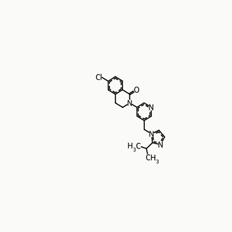 CC(C)c1nccn1Cc1cncc(N2CCc3cc(Cl)ccc3C2=O)c1